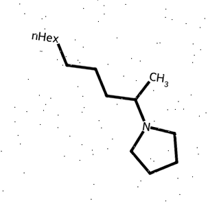 CCCCCCCCCC(C)N1CCCC1